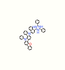 c1ccc(C2NC(c3ccccc3)NC(c3ccc(-n4c5ccccc5c5c4ccc4c6c7oc8ccccc8c7ccc6n(-c6ccccc6)c45)c4ccccc34)N2)cc1